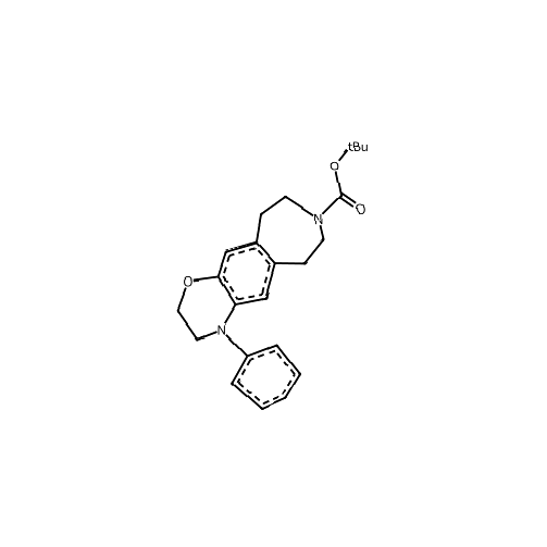 CC(C)(C)OC(=O)N1CCc2cc3c(cc2CC1)N(c1ccccc1)CCO3